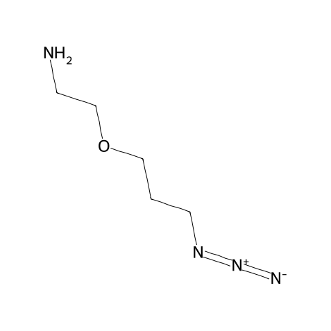 [N-]=[N+]=NCCCOCCN